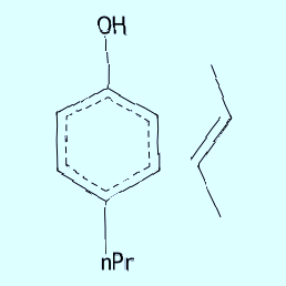 CC=CC.CCCc1ccc(O)cc1